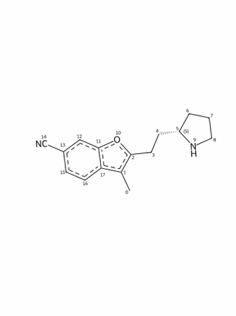 Cc1c(CC[C@@H]2CCCN2)oc2cc(C#N)ccc12